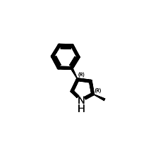 C[C@@H]1C[C@H](c2ccccc2)CN1